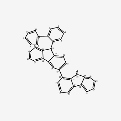 c1ccc(-c2ccccc2-n2c3ccccc3c3cc(-c4cccc5c4[nH]c4ccccc45)ccc32)cc1